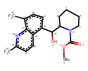 CC(C)(C)OC(=O)N1CCCCC1C(O)c1ccc(C(F)(F)F)c2nc(C(F)(F)F)ccc12